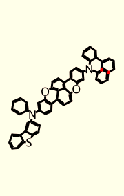 c1ccc(-c2ccccc2N(c2ccccc2)c2ccc3c(c2)Oc2ccc4c5c(ccc-3c25)Oc2cc(N(c3ccccc3)c3ccc5sc6ccccc6c5c3)ccc2-4)cc1